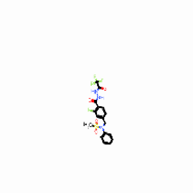 CS(=O)(=O)N(Cc1ccc(C(=O)NNC(=O)C(F)(F)F)c(F)c1)c1ccccc1